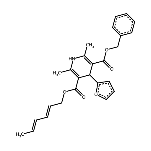 C/C=C/C=C/COC(=O)C1=C(C)NC(C)=C(C(=O)OCc2ccccc2)C1c1ccco1